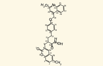 Cc1ccc2oc(=O)c(CC(CCc3ccc(OCc4cc(C)nc5ccccc45)cc3)C(=O)NO)cc2c1